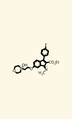 CCOC(=O)C1=C(c2ccc(F)cc2)c2ccc(OCC[N+]3(O)CCOCC3)cc2/C1=N\C